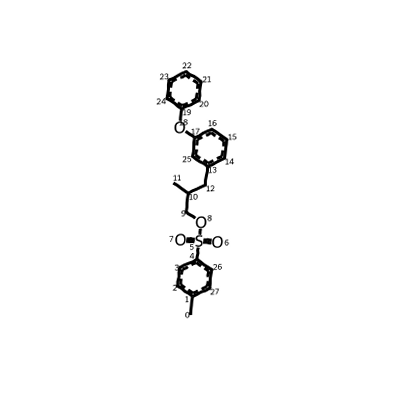 Cc1ccc(S(=O)(=O)OCC(C)Cc2cccc(Oc3ccccc3)c2)cc1